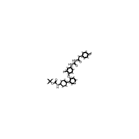 CC(C)(C)OC(=O)NC1CC=C(c2cnccc2Oc2ccc(NC(=O)NC(=O)Cc3ccc(F)cc3)cc2F)CC1